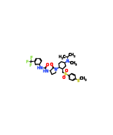 CSc1ccc(S(=O)(=O)C[C@@H]2C[C@H](N(C)C(C)C)CC[C@@H]2N2CC[C@H](NC(=O)Nc3cccc(C(F)(F)F)c3)C2=O)cc1